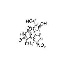 Cc1cn([C@@]2(c3ccc([N+](=O)[O-])cc3)C[C@H](O)[C@@H](CO)O2)c(=O)[nH]c1=O